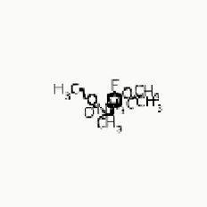 CCCOC(=O)n1c(C)cc2cc(OC(C)(C)C)c(F)cc21